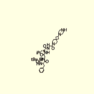 CC(C)C[C@@H](NC(=O)CNC(=O)C(Cc1ccccc1)NC(=O)OC(C)(C)C)C(=O)NCC(=O)N1CCC2(CC1)CC(N1CCNCC1)C2